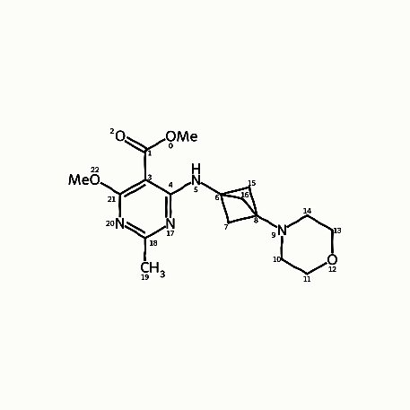 COC(=O)c1c(NC23CC(N4CCOCC4)(C2)C3)nc(C)nc1OC